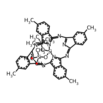 Cc1ccc2c(c1)C1=NC/2=N\c2c3cc(C)ccc3c3n2[Si](O[Si](C)(C)C)(O[Si](C)(C)C)n2/c(c4ccc(C)cc4/c2=N/C2=NC(=N\3)/c3cc(C)ccc32)=N\1